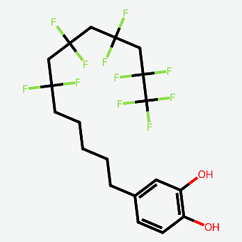 Oc1ccc(CCCCCC(F)(F)CC(F)(F)CC(F)(F)CC(F)(F)C(F)(F)F)cc1O